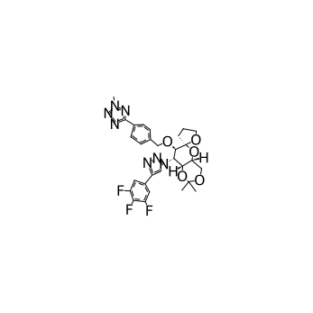 Cn1nnc(-c2ccc(CO[C@@H]3[C@@H](n4cc(-c5cc(F)c(F)c(F)c5)nn4)[C@H]4OC(C)(C)OC[C@H]4O[C@@]34CCCO4)cc2)n1